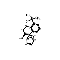 CC(C)(C)c1cccc2c1CCC(=O)C21CC2C=CC1C2